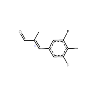 C/C(C=O)=C\c1cc(F)c(C)c(F)c1